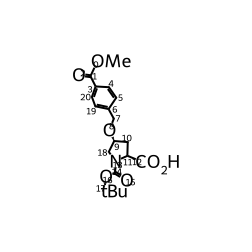 COC(=O)c1ccc(CO[C@H]2CC(C(=O)O)N(C(=O)OC(C)(C)C)C2)cc1